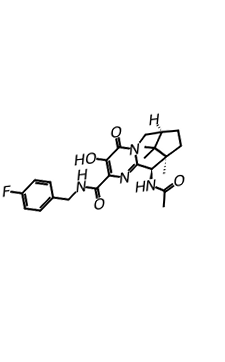 CC(=O)N[C@H]1c2nc(C(=O)NCc3ccc(F)cc3)c(O)c(=O)n2C[C@H]2CC[C@]1(C)C2(C)C